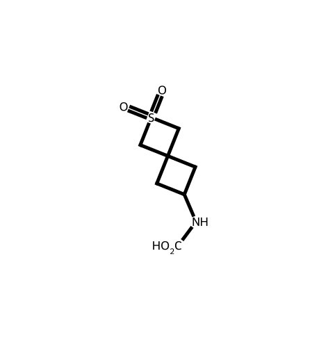 O=C(O)NC1CC2(C1)CS(=O)(=O)C2